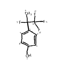 CC(F)(c1ccc(O)cc1)C(F)(F)F